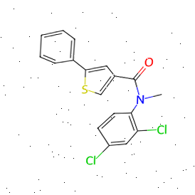 CN(C(=O)c1csc(-c2ccccc2)c1)c1ccc(Cl)cc1Cl